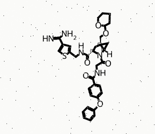 N=C(N)c1csc(CNC(=O)[C@@H]2C[C@]3(COC4CCCCO4)C[C@@H]3N2C(=O)CNC(=O)c2ccc(Oc3ccccc3)cc2)c1